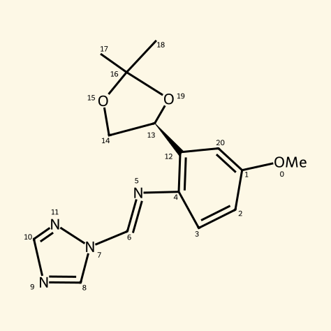 COc1ccc(N=Cn2cncn2)c([C@H]2COC(C)(C)O2)c1